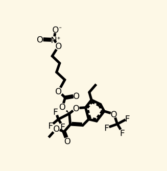 CCc1cc(OC(F)(F)F)cc2c1O[C@](OC(=O)OCCCCO[N+](=O)[O-])(C(F)(F)F)C(C(=O)OC)=C2